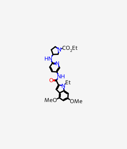 CCOC(=O)N1CCC(Nc2ccc(NC(=O)c3cc4c(OC)cc(OC)cc4n3CC)cn2)C1